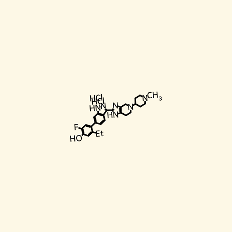 CCc1cc(O)c(F)cc1-c1ccc2c(-c3nc4c([nH]3)CCN(C3CCN(C)CC3)C4)n[nH]c2c1.Cl.Cl